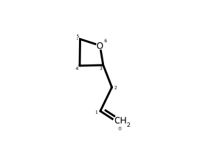 C=CCC1C[CH]O1